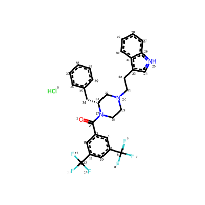 Cl.O=C(c1cc(C(F)(F)F)cc(C(F)(F)F)c1)N1CCN(CCc2c[nH]c3ccccc23)C[C@H]1Cc1ccccc1